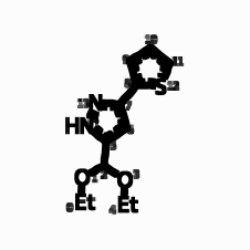 CCOC(OCC)c1cc(-c2cccs2)n[nH]1